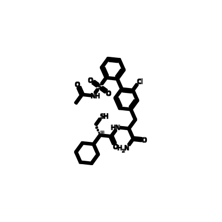 CC(=O)NS(=O)(=O)c1ccccc1-c1ccc(CC(NC(=O)[C@@H](CS)C2CCCCC2)C(N)=O)cc1Cl